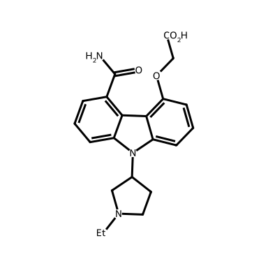 CCN1CCC(n2c3cccc(OCC(=O)O)c3c3c(C(N)=O)cccc32)C1